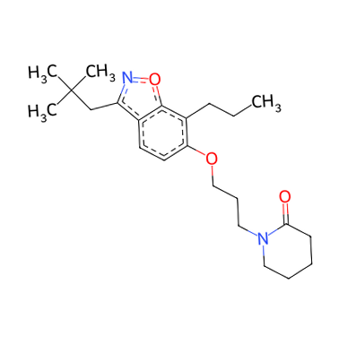 CCCc1c(OCCCN2CCCCC2=O)ccc2c(CC(C)(C)C)noc12